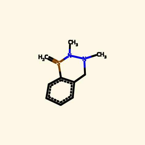 C=S1c2ccccc2CN(C)N1C